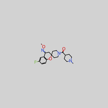 CON=C1CC2(CCN(C(=O)C3CCN(C)CC3)CC2)Oc2ccc(F)cc21